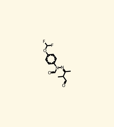 C/C(=N/N(C=O)c1ccc(OC(F)F)cc1)C(C)C=O